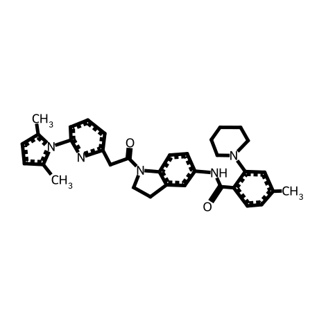 Cc1ccc(C(=O)Nc2ccc3c(c2)CCN3C(=O)Cc2cccc(-n3c(C)ccc3C)n2)c(N2CCCCC2)c1